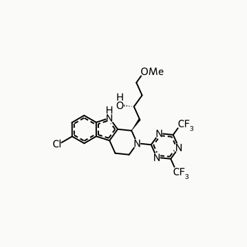 COCC[C@@H](O)C[C@@H]1c2[nH]c3ccc(Cl)cc3c2CCN1c1nc(C(F)(F)F)nc(C(F)(F)F)n1